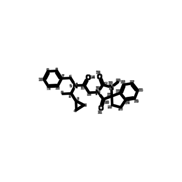 CC(C1CC1)N(Cc1ccccc1)C(=O)CN1C(=O)N(C)C2(CCc3ccccc32)C1=O